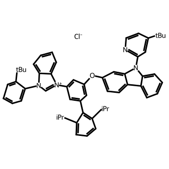 CC(C)c1cccc(C(C)C)c1-c1cc(Oc2ccc3c4ccccc4n(-c4cc(C(C)(C)C)ccn4)c3c2)cc(-[n+]2cn(-c3ccccc3C(C)(C)C)c3ccccc32)c1.[Cl-]